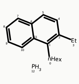 CCCCCCc1c(CC)ccc2ccccc12.P